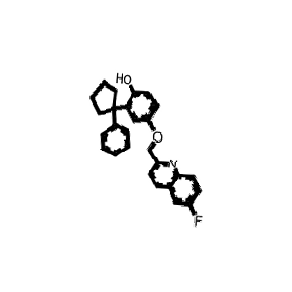 Oc1ccc(OCc2ccc3cc(F)ccc3n2)cc1C1(c2ccccc2)CCCC1